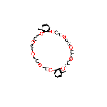 Cc1cccc2c1OCCOCCOCCOCCOc1cccc(C)c1OCCOCCOCCOCCO2